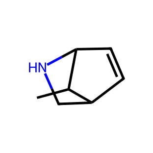 CC1C2C=CC1NC2